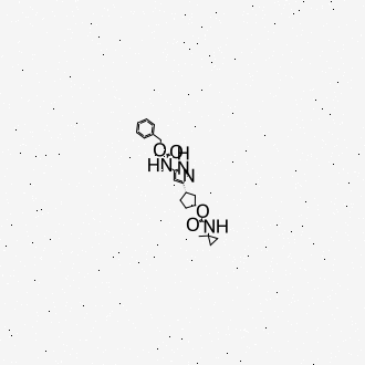 CC1(NC(=O)O[C@@H]2CC[C@H](c3cc(NC(=O)OCc4ccccc4)[nH]n3)C2)CC1